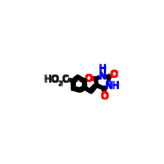 O=C1NC(=O)C(=Cc2ccc(C(=O)O)cc2)C(=O)N1